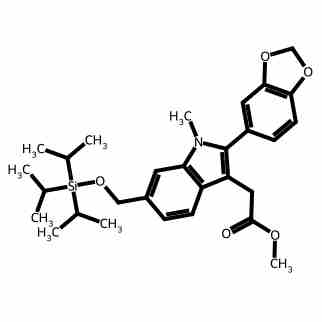 COC(=O)Cc1c(-c2ccc3c(c2)OCO3)n(C)c2cc(CO[Si](C(C)C)(C(C)C)C(C)C)ccc12